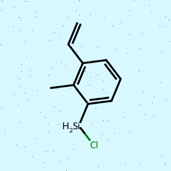 C=Cc1cccc([SiH2]Cl)c1C